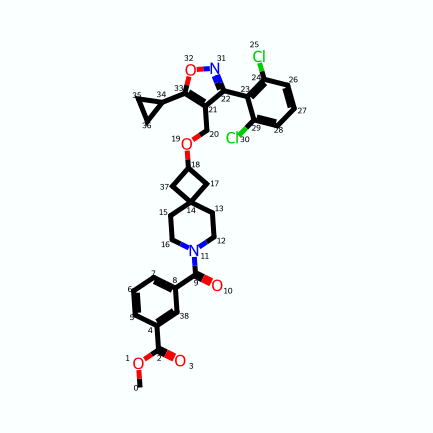 COC(=O)c1cccc(C(=O)N2CCC3(CC2)CC(OCc2c(-c4c(Cl)cccc4Cl)noc2C2CC2)C3)c1